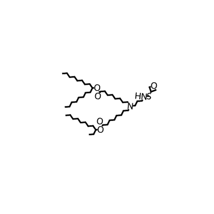 CCCCCCCCC(CC)OC(=O)CCCCCCCN(CCCCCCCC(=O)OC(CCCCCCCC)CCCCCCCC)CCCNSC1COC1